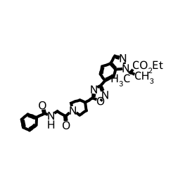 CCOC(=O)C(C)(C)n1ncc2ccc(-c3noc(C4CCN(C(=O)CNC(=O)c5ccccc5)CC4)n3)cc21